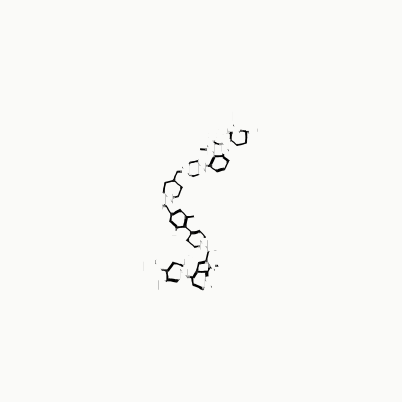 CNc1cc(=O)n(-c2ccnc3c2cc([C@H](C)N2CC=C(c4c(C)cc(C(=O)N5CCC(CN6CCN(c7cccc8c7n(C)c(=O)n8C7CCC(=O)NC7=O)CC6)CC5)cc4F)CC2)n3C)cc1F